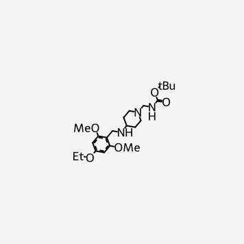 CCOc1cc(OC)c(CNC2CCN(CNC(=O)OC(C)(C)C)CC2)c(OC)c1